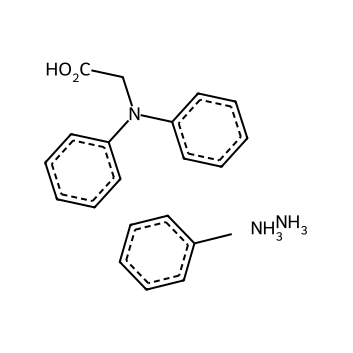 Cc1ccccc1.N.N.O=C(O)CN(c1ccccc1)c1ccccc1